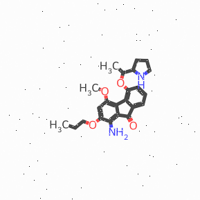 CCCOc1cc(OC)c2c(c1N)C(=O)c1cccc(OC(C)C3CCCN3)c1-2